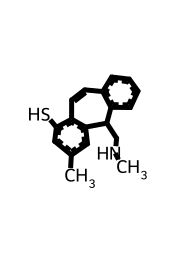 CNCC1c2ccccc2C=Cc2c(S)cc(C)cc21